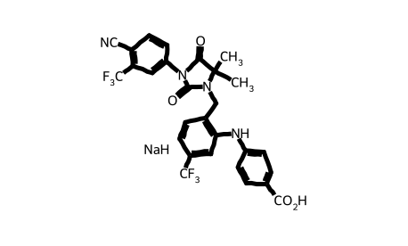 CC1(C)C(=O)N(c2ccc(C#N)c(C(F)(F)F)c2)C(=O)N1Cc1ccc(C(F)(F)F)cc1Nc1ccc(C(=O)O)cc1.[NaH]